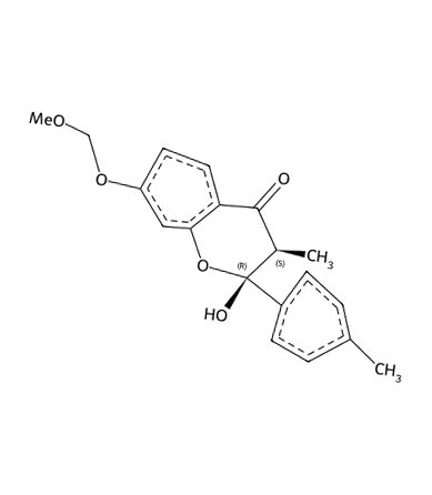 COCOc1ccc2c(c1)O[C@@](O)(c1ccc(C)cc1)[C@H](C)C2=O